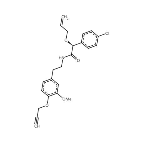 C#CCOc1ccc(CCNC(=O)[C@@H](OCC=C)c2ccc(Cl)cc2)cc1OC